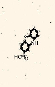 O=S(O)c1ccc2c(c1)Nc1ccccc1S2